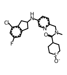 CN(Cc1ccc(NC2Cc3cc(F)cc(Cl)c3C2)cn1)C(=O)C1CC[S+]([O-])CC1